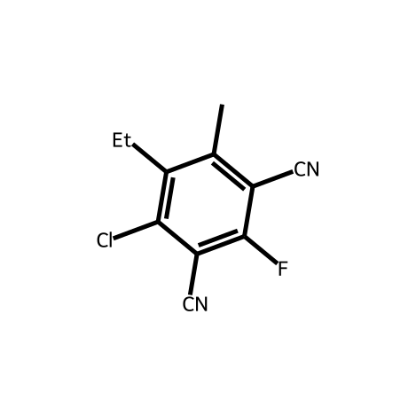 CCc1c(C)c(C#N)c(F)c(C#N)c1Cl